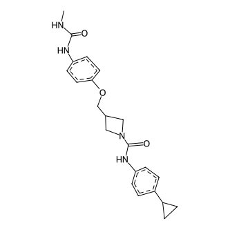 CNC(=O)Nc1ccc(OCC2CN(C(=O)Nc3ccc(C4CC4)cc3)C2)cc1